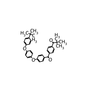 CC(C)(C)C(=O)c1ccc(C(=O)c2ccc(Oc3ccc(Oc4ccc(C(C)(C)C)cc4)cc3)cc2)cc1